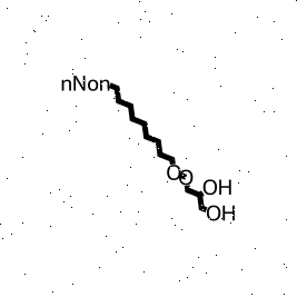 CCCCCCCCCCCCCCCCCCOOCC(O)CO